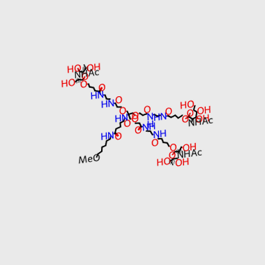 COCCCCCCNC(=O)CCCC(=O)NC(COCCC(=O)NCCCNC(=O)CCCCOC1OC(CO)C(O)C(O)C1NC(C)=O)(COCCC(=O)NCCCNC(=O)CCCCOC(OC(CO)[C@@H](C)O)[C@H](CO)NC(C)=O)COCCC(=O)NCCCNC(=O)CCCCOC(OC(CO)[C@@H](C)O)[C@H](CO)NC(C)=O